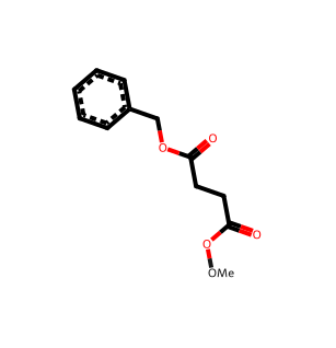 COOC(=O)CCC(=O)OCc1ccccc1